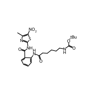 Cc1nc(NC(=O)c2ccccc2NC(=O)CCCCCNC(=O)OC(C)(C)C)sc1[N+](=O)[O-]